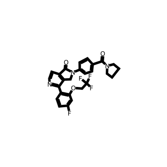 O=C(c1ccc(N2Cc3c(ccnc3-c3ccc(F)cc3OCC(F)(F)F)C2=O)cc1)N1CCCC1